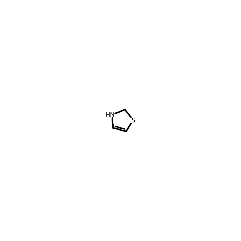 [C]1=CSCN1